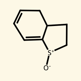 [O-][S+]1CCC2CC=CC=C21